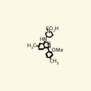 COc1cc(C)ccc1-c1nnc(NC2CCCN(C(=O)O)C2)c2cc(C)ccc12